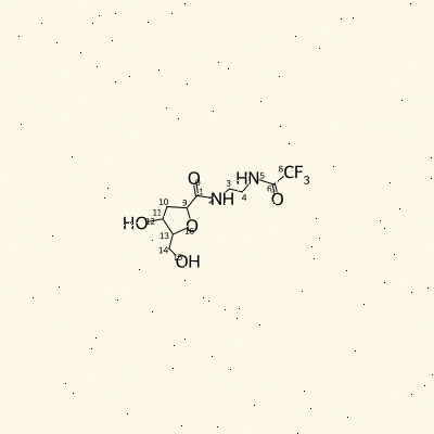 O=C(NCCNC(=O)C(F)(F)F)C1CC(O)C(CO)O1